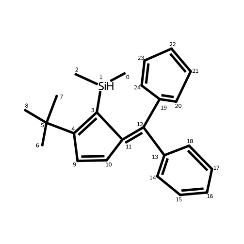 C[SiH](C)C1=C(C(C)(C)C)C=CC1=C(c1ccccc1)c1ccccc1